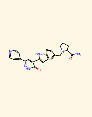 NC(=O)[C@@H]1CCCN1Cc1ccc2[nH]c(-c3cc(-c4ccncc4)n[nH]c3=O)cc2c1